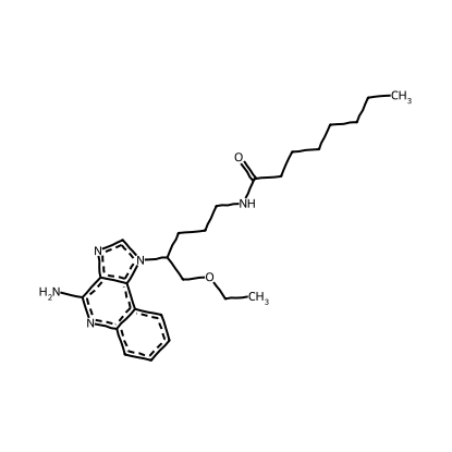 CCCCCCCC(=O)NCCCC(COCC)n1cnc2c(N)nc3ccccc3c21